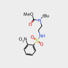 COC(=O)N(CCNS(=O)(=O)c1ccccc1[N+](=O)[O-])C(C)(C)C